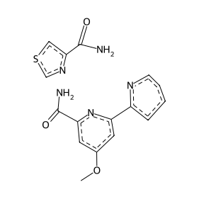 COc1cc(C(N)=O)nc(-c2ccccn2)c1.NC(=O)c1cscn1